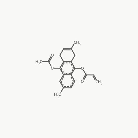 C=CC(=O)Oc1c2c(c(OC(C)=O)c3cc(C)ccc13)CC=C(C)C2